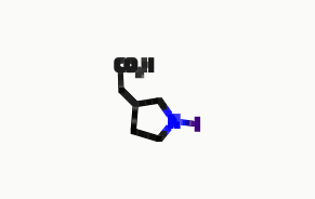 O=C(O)CC1CCN(I)C1